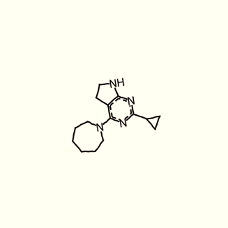 C1CCCN(c2nc(C3CC3)nc3c2CCN3)CC1